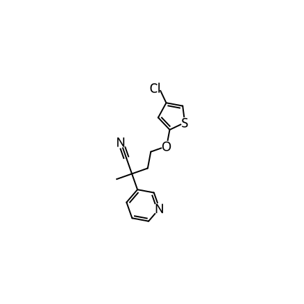 CC(C#N)(CCOc1cc(Cl)cs1)c1cccnc1